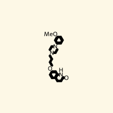 COc1cccc(N2CCN(CCCCOc3ccc4c(c3)NC(=O)CC4)CC2)c1